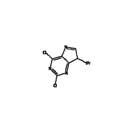 CC(C)C1C=Nc2c(Cl)nc(Cl)nc21